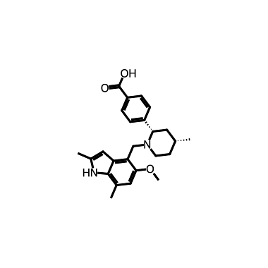 COc1cc(C)c2[nH]c(C)cc2c1CN1CC[C@@H](C)C[C@H]1c1ccc(C(=O)O)cc1